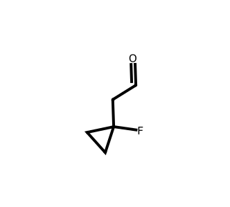 O=CCC1(F)CC1